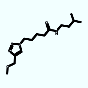 COCc1cn(CCCCC(=O)NCCC(C)C)nn1